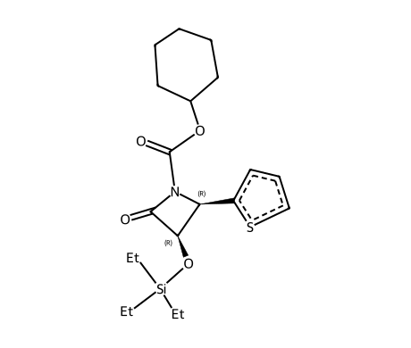 CC[Si](CC)(CC)O[C@H]1C(=O)N(C(=O)OC2CCCCC2)[C@H]1c1cccs1